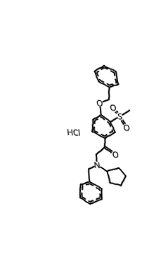 CS(=O)(=O)c1cc(C(=O)CN(Cc2ccccc2)C2CCCC2)ccc1OCc1ccccc1.Cl